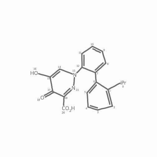 CC(C)c1ccccc1-c1ccccc1-n1cc(O)c(=O)c(C(=O)O)n1